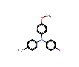 COc1ccc(N(c2ccc(C)cc2)c2ccc(I)cc2)cc1